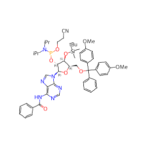 COc1ccc(C(OC[C@H]2O[C@@H](n3cnc4c(NC(=O)c5ccccc5)ncnc43)[C@H](OP(OCCC#N)N(C(C)C)C(C)C)[C@H]2O[Si](C)(C)C(C)(C)C)(c2ccccc2)c2ccc(OC)cc2)cc1